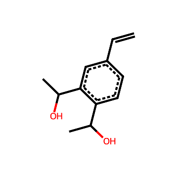 C=Cc1ccc(C(C)O)c(C(C)O)c1